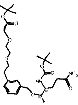 C[C@@H](OCc1cccc(CCOCCOCC(=O)OC(C)(C)C)c1)[C@H](CCC(N)=O)NC(=O)OC(C)(C)C